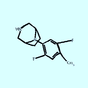 Cc1cc(F)c(N2C3CCC2CNC3)cc1F